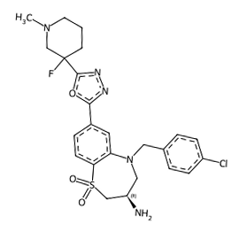 CN1CCCC(F)(c2nnc(-c3ccc4c(c3)N(Cc3ccc(Cl)cc3)C[C@@H](N)CS4(=O)=O)o2)C1